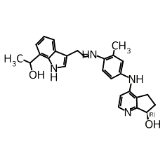 Cc1cc(Nc2ccnc3c2CC[C@H]3O)ccc1NCCc1c[nH]c2c(C(C)O)cccc12